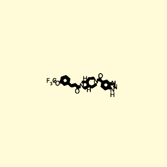 O=C(C=Cc1cccc(OC(F)(F)F)c1)N1C[C@H]2CCN(C(=O)c3ccc4[nH]nnc4c3)CC[C@H]2C1